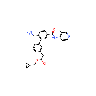 NCc1ccc(C(=O)Nc2ccncc2F)cc1-c1cccc(CC(O)OCC2CC2)c1